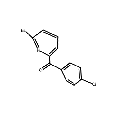 O=C(c1ccc(Cl)cc1)c1cccc(Br)n1